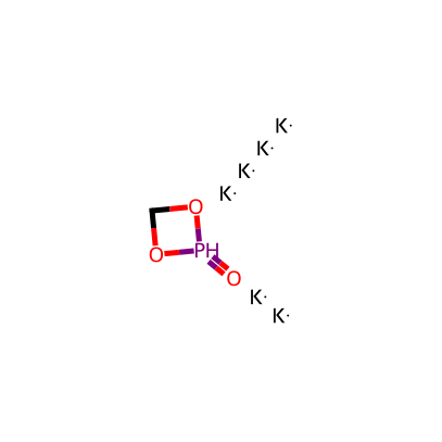 O=[PH]1OCO1.[K].[K].[K].[K].[K].[K]